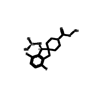 CC(C)(C)OC(=O)N1CCC2(CC1)Cc1c(F)ccc(F)c1[C@@H]2N[S@+]([O-])C(C)(C)C